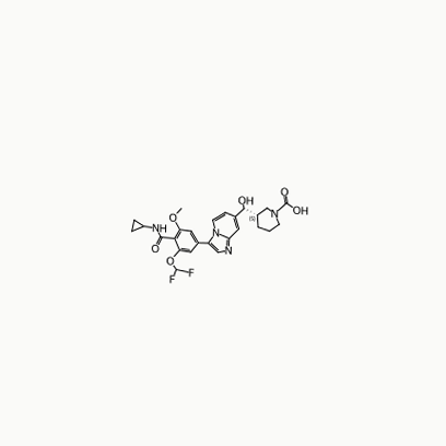 COc1cc(-c2cnc3cc(C(O)[C@H]4CCCN(C(=O)O)C4)ccn23)cc(OC(F)F)c1C(=O)NC1CC1